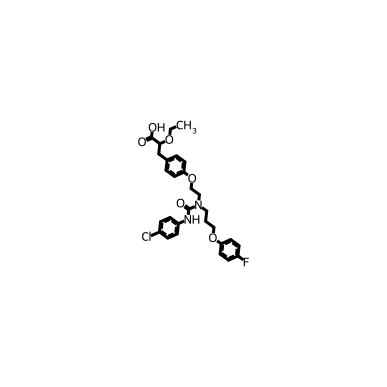 CCOC(Cc1ccc(OCCN(CCCOc2ccc(F)cc2)C(=O)Nc2ccc(Cl)cc2)cc1)C(=O)O